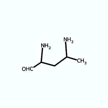 CC(N)CC(N)C=O